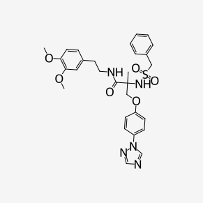 COc1ccc(CCNC(=O)C(C)(COc2ccc(-n3cncn3)cc2)NS(=O)(=O)Cc2ccccc2)cc1OC